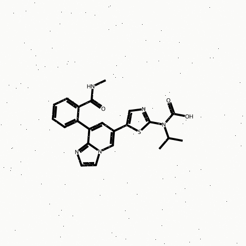 CNC(=O)c1ccccc1-c1cc(-c2cnc(N(C(=O)O)C(C)C)s2)cn2ccnc12